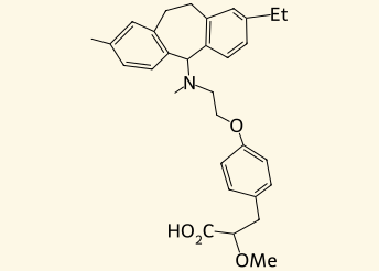 CCc1ccc2c(c1)CCc1cc(C)ccc1C2N(C)CCOc1ccc(CC(OC)C(=O)O)cc1